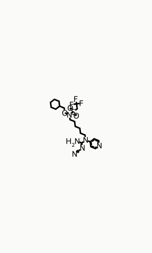 N#CN=C(N)N(CCCCCCN(OCC1CCCCC1)S(=O)(=O)CC(F)(F)F)c1ccncc1